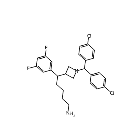 NCCCCC(c1cc(F)cc(F)c1)C1CN(C(c2ccc(Cl)cc2)c2ccc(Cl)cc2)C1